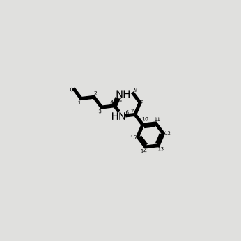 CCCCC(=N)NC(CC)c1ccccc1